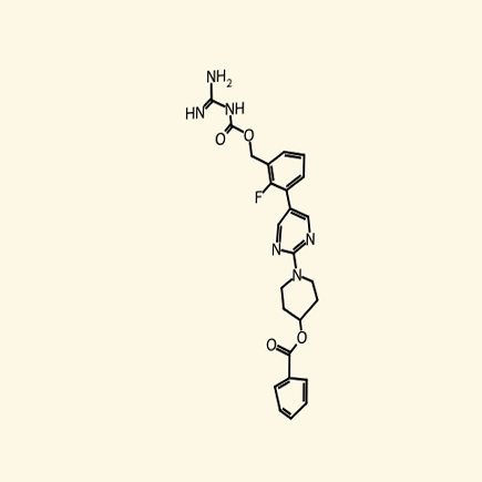 N=C(N)NC(=O)OCc1cccc(-c2cnc(N3CCC(OC(=O)c4ccccc4)CC3)nc2)c1F